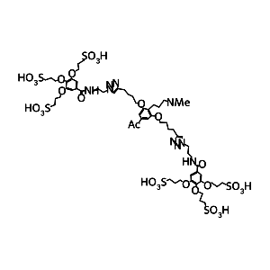 CNCCCc1c(OCCCCc2cn(CCCNC(=O)c3cc(OCCCS(=O)(=O)O)c(OCCCS(=O)(=O)O)c(OCCCS(=O)(=O)O)c3)nn2)cc(C(C)=O)cc1OCCCCc1cn(CCCNC(=O)c2cc(OCCCS(=O)(=O)O)c(OCCCS(=O)(=O)O)c(OCCCS(=O)(=O)O)c2)nn1